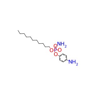 CCCCCCCCCCCOP(=O)(ON)Oc1ccc(N)cc1